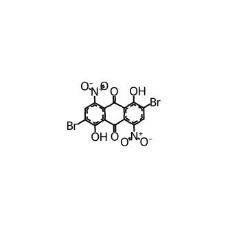 O=C1c2c([N+](=O)[O-])cc(Br)c(O)c2C(=O)c2c([N+](=O)[O-])cc(Br)c(O)c21